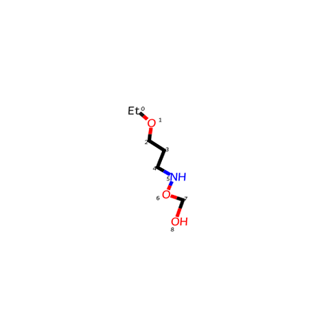 CCOCCCNOCO